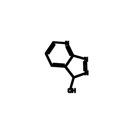 OC1N=Nc2ncccc21